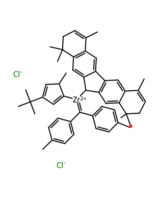 CC1=CCC(C)(C)c2cc3c(cc21)-c1cc2c(cc1[CH]3[Zr+2]([C]1=CC(C(C)(C)C)=CC1C)=[C](c1ccc(C)cc1)c1ccc(C)cc1)C(C)(C)CC=C2C.[Cl-].[Cl-]